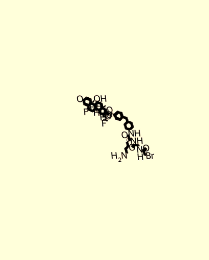 C[C@]12C=CC(=O)C=C1[C@@H](F)C[C@H]1[C@@H]3C[C@H]4O[C@@H](c5ccc(CC6CCC(NC(=O)[C@H](CCCCN)NC(=O)CNC(=O)CBr)CC6)cc5)O[C@@]4(C(=O)SCF)[C@@]3(C)C[C@H](O)[C@@]12F